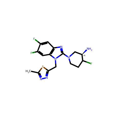 Cc1nnc(Cn2c(N3CCC(F)[C@H](N)C3)nc3cc(F)c(F)cc32)s1